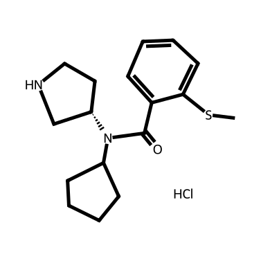 CSc1ccccc1C(=O)N(C1CCCC1)[C@H]1CCNC1.Cl